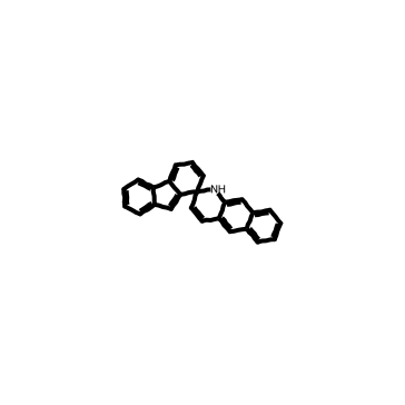 C1=CC2(C=Cc3cc4ccccc4cc3N2)C2=Cc3ccccc3C2=C1